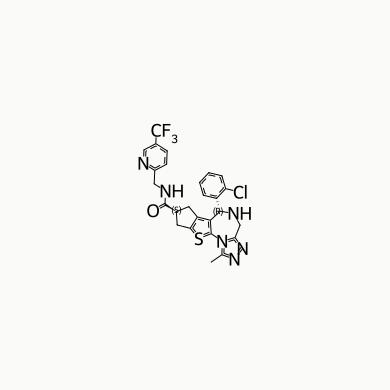 Cc1nnc2n1-c1sc3c(c1[C@H](c1ccccc1Cl)NC2)C[C@H](C(=O)NCc1ccc(C(F)(F)F)cn1)C3